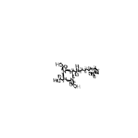 O=C(O)CN1CCN(CC(=O)O)CCN(CC(=O)NCCCCCCn2ccnc2[N+](=O)[O-])CCN(CC(=O)O)CC1